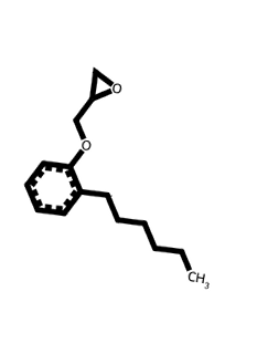 CCCCC[CH]c1ccccc1OCC1CO1